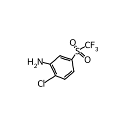 Nc1cc(S(=O)(=O)C(F)(F)F)ccc1Cl